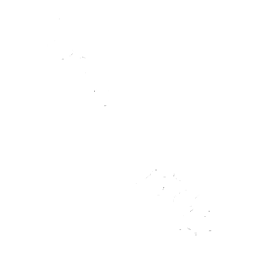 CC(CC(=O)NCCCCCCCCCCCCC(=O)c1ccc(C(=O)c2ccccc2)cc1)C(=O)O